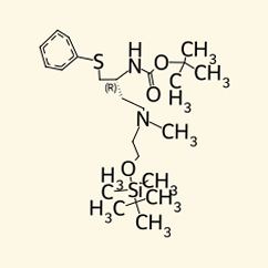 CN(CCO[Si](C)(C)C(C)(C)C)CC[C@H](CSc1ccccc1)NC(=O)OC(C)(C)C